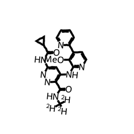 [2H]C([2H])([2H])NC(=O)c1nnc(NC(=O)C2CC2)cc1Nc1nccc(-c2ccccn2)c1OC